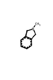 CB1Cc2ccccc2C1